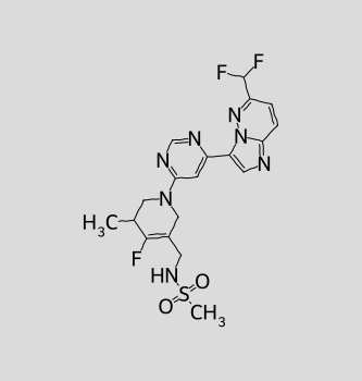 CC1CN(c2cc(-c3cnc4ccc(C(F)F)nn34)ncn2)CC(CNS(C)(=O)=O)=C1F